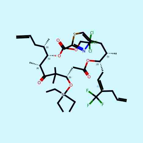 C=CC/C(=C\C[C@H](OC(=O)C[C@H](O[Si](CC)(CC)CC)C(C)(C)C(=O)[C@H](C)[C@@H](OC(=O)OCC(Cl)(Cl)Cl)[C@@H](C)CC=C)[C@@H](C)Cc1csc(C)n1)C(F)(F)F